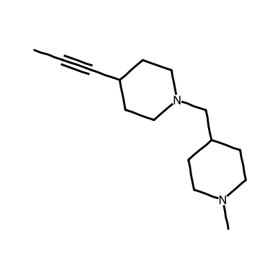 CC#CC1CCN(CC2CCN(C)CC2)CC1